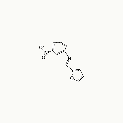 O=[N+]([O-])c1cccc(N=Cc2ccco2)c1